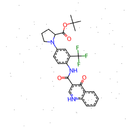 CC(C)(C)OC(=O)C1CCCN1c1ccc(NC(=O)c2c[nH]c3ccccc3c2=O)c(C(F)(F)F)c1